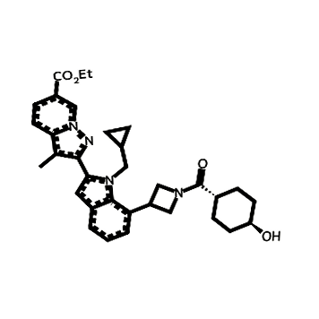 CCOC(=O)c1ccc2c(C)c(-c3cc4cccc(C5CN(C(=O)[C@H]6CC[C@H](O)CC6)C5)c4n3CC3CC3)nn2c1